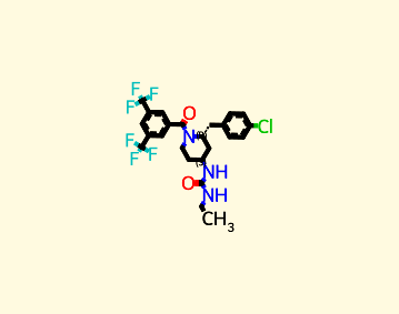 CCNC(=O)N[C@H]1CCN(C(=O)c2cc(C(F)(F)F)cc(C(F)(F)F)c2)[C@H](Cc2ccc(Cl)cc2)C1